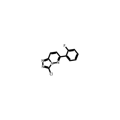 Fc1ccccc1-c1ccc2nnc(Cl)n2n1